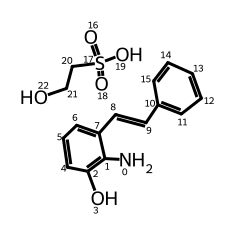 Nc1c(O)cccc1C=Cc1ccccc1.O=S(=O)(O)CCO